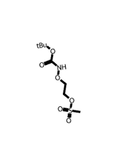 CC(C)(C)OC(=O)NOCCOS(C)(=O)=O